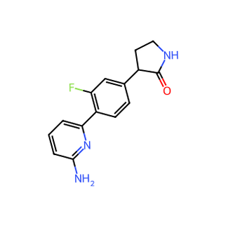 Nc1cccc(-c2ccc(C3CCNC3=O)cc2F)n1